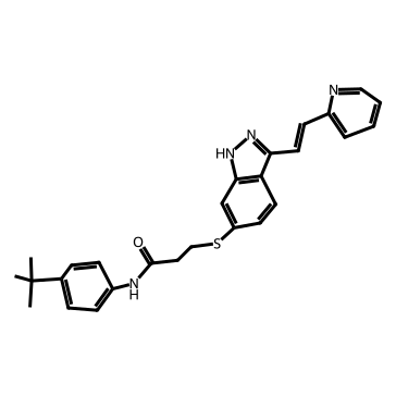 CC(C)(C)c1ccc(NC(=O)CCSc2ccc3c(C=Cc4ccccn4)n[nH]c3c2)cc1